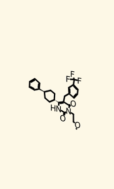 COCCn1c(=O)[nH]c([C@H]2CC[C@H](c3ccccc3)CC2)c(Cc2cccc(C(F)(F)F)c2)c1=O